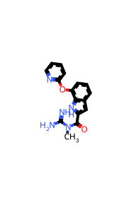 CN(C(=N)N)C(=O)c1cc2cccc(Oc3ccccn3)c2[nH]1